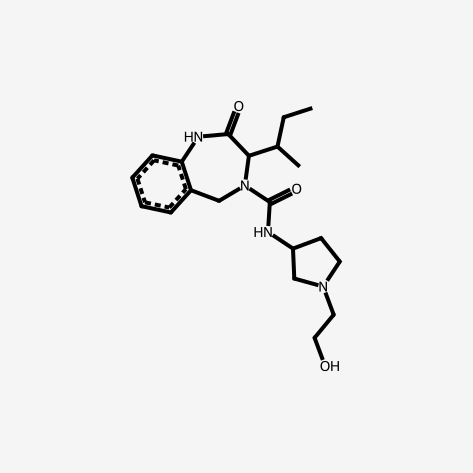 CCC(C)C1C(=O)Nc2ccccc2CN1C(=O)NC1CCN(CCO)C1